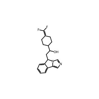 OC(CC1c2ccccc2-c2cncn21)C1CCC(=C(F)F)CC1